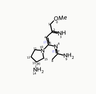 COCC(=N)/C=C(\N=C(/C)N)N1CC[C@@H](N)C1